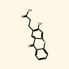 O=C(O)CCc1cc2c(=O)c3ccccc3oc2cc1O